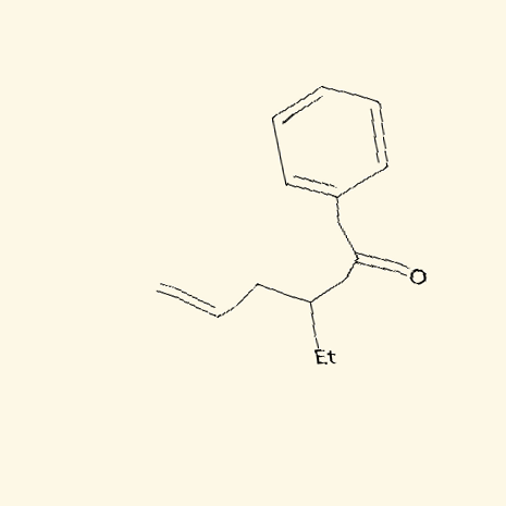 C=CCC(CC)C(=O)c1ccccc1